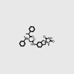 CC(C(=O)N(CC(=O)Nc1ccc2c(c1)C[C@@]1(C2)C(=O)NC(=O)N1C)[C@H](C)c1ccccc1)c1ccccc1